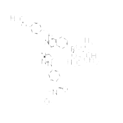 COc1ccc(Cn2nc(-c3cn(-c4ccc(C(=O)N5CCOCC5)cc4)nn3)c3cc(B4OC(C)(C)C(C)(C)O4)ccc32)cc1